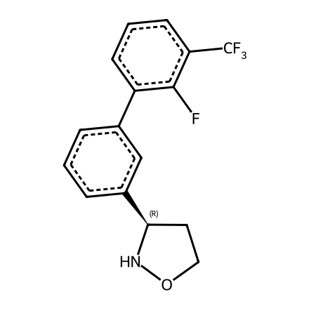 Fc1c(-c2cccc([C@H]3CCON3)c2)cccc1C(F)(F)F